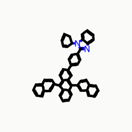 C1=CCC(n2c(-c3ccc(-c4ccc5c(-c6ccc7ccccc7c6)c6ccccc6c(-c6ccc7ccccc7c6)c5c4)cc3)nc3ccccc32)C=C1